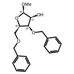 CO[C@@H]1O[C@H](COCc2ccccc2)[C@H](OCc2ccccc2)[C@@H]1O